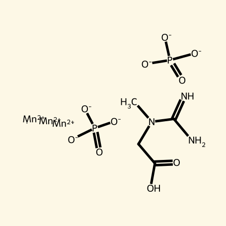 CN(CC(=O)O)C(=N)N.O=P([O-])([O-])[O-].O=P([O-])([O-])[O-].[Mn+2].[Mn+2].[Mn+2]